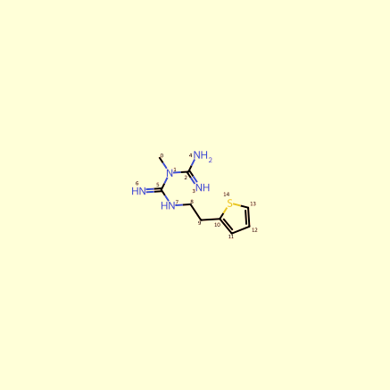 CN(C(=N)N)C(=N)NCCc1cccs1